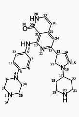 CN1CCN(c2ccc(Nc3nc(C4C=NN(C5CCNCC5)C4)cc4cc[nH]c(=O)c34)cc2)CC1